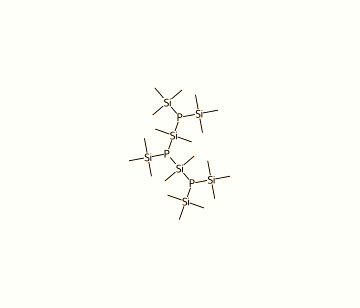 C[Si](C)(C)P([Si](C)(C)C)[Si](C)(C)P([Si](C)(C)C)[Si](C)(C)P([Si](C)(C)C)[Si](C)(C)C